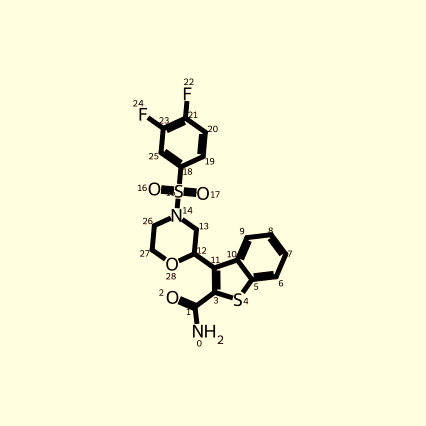 NC(=O)c1sc2ccccc2c1C1CN(S(=O)(=O)c2ccc(F)c(F)c2)CCO1